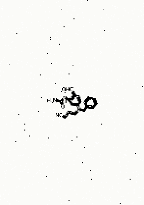 N#CCCCN(Cc1ccccc1)c1ccc(C=O)c(NC(N)=O)c1